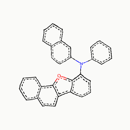 c1ccc(N(c2ccc3ccccc3c2)c2cccc3c2oc2c4ccccc4ccc32)cc1